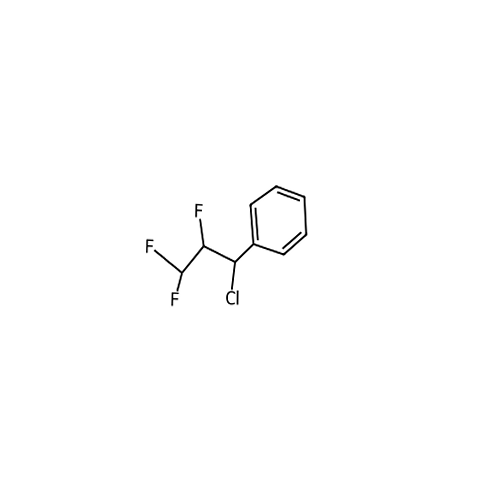 FC(F)C(F)C(Cl)c1ccccc1